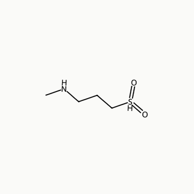 CNCCC[SH](=O)=O